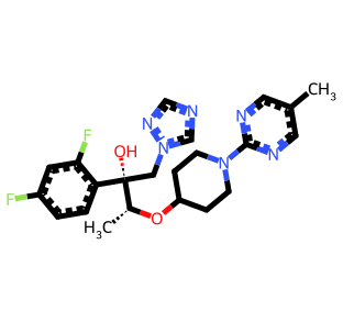 Cc1cnc(N2CCC(O[C@H](C)[C@](O)(Cn3cncn3)c3ccc(F)cc3F)CC2)nc1